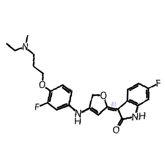 CCN(C)CCCOc1ccc(NC2=C/C(=C3\C(=O)Nc4cc(F)ccc43)OC2)cc1F